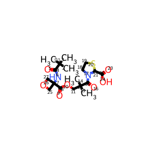 CC(C)(C)C(=O)NC1(C(=O)OCC(C)(C)C(=O)N2CCSC2C(=O)O)COC1